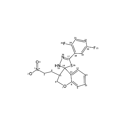 O=[N+]([O-])CCC1COc2ccccc2C12NN=C(c1cc(F)ccc1F)S2